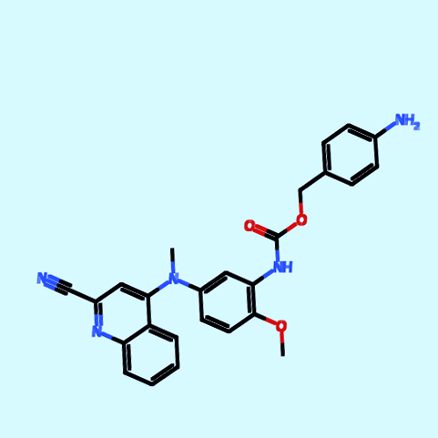 COc1ccc(N(C)c2cc(C#N)nc3ccccc23)cc1NC(=O)OCc1ccc(N)cc1